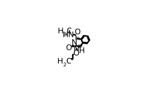 C=CCON1C(=O)N2C[C@@H]1c1ccccc1[C@@H]2C(=O)NC